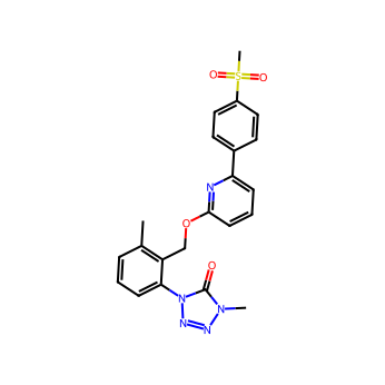 Cc1cccc(-n2nnn(C)c2=O)c1COc1cccc(-c2ccc(S(C)(=O)=O)cc2)n1